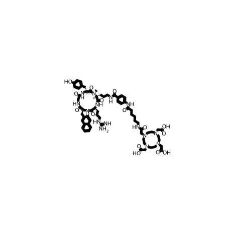 CN1C(=O)[C@@H](Cc2ccc(O)cc2)NC(=O)CNC(=O)[C@H](Cc2ccc3ccccc3c2)NC(=O)[C@H](CCCNC(=N)N)NC(=O)[C@H]1CCCNC(=O)c1ccc(NC(=O)CCCCCNC(=O)CN2CCN(CC(=O)O)CCN(CC(=O)O)CCN(CC(=O)O)CC2)cc1